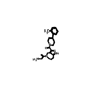 C=C(CN)N1CCCc2[nH]nc(C(=O)N3CCC(c4ccccc4C(F)(F)F)CC3)c2C1